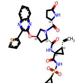 C=C[C@@H]1C[C@]1(NC(=O)[C@@H]1C[C@@H](Oc2nc3ccccc3nc2-c2cccs2)CN1C(=O)[C@@H]1CCC(=O)N1)C(=O)NS(=O)(=O)C1CC1